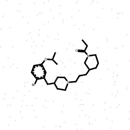 CCC(=O)N1CCCC(CCCN2CCC(Cc3cc(OC(C)C)ccc3Br)CC2)C1